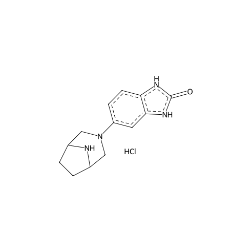 Cl.O=c1[nH]c2ccc(N3CC4CCC(C3)N4)cc2[nH]1